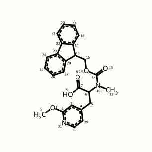 COc1cc(CC(C(=O)O)N(C)C(=O)OCC2c3ccccc3-c3ccccc32)ccn1